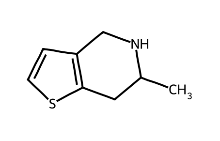 CC1Cc2sccc2CN1